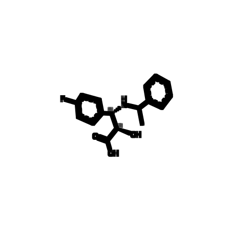 CC(N[C@@H](c1ccc(F)cc1)[C@@H](O)C(=O)O)c1ccccc1